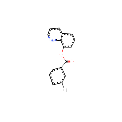 Cc1cccc(C(=O)Oc2cccc3cccnc23)c1